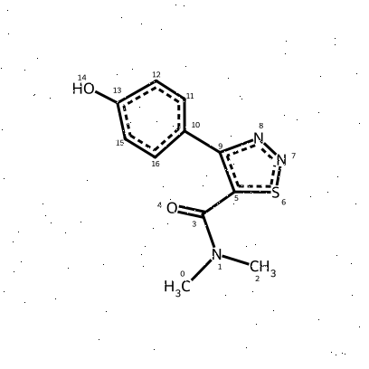 CN(C)C(=O)c1snnc1-c1ccc(O)cc1